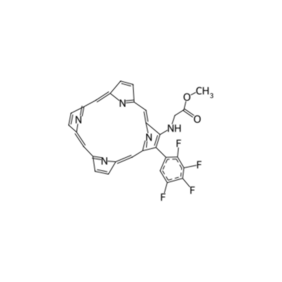 COC(=O)CNC1=C(c2cc(F)c(F)c(F)c2F)C2=NC1=CC1=NC(=CC3=NC(=CC4=NC(=C2)C=C4)C=C3)C=C1